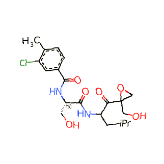 Cc1ccc(C(=O)N[C@@H](CO)C(=O)NC(CC(C)C)C(=O)C2(CO)CO2)cc1Cl